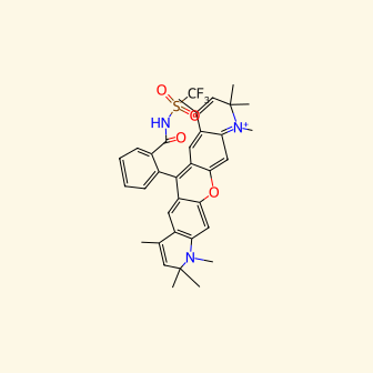 CC1=CC(C)(C)N(C)c2cc3c(cc21)C(c1ccccc1C(=O)NS(=O)(=O)C(F)(F)F)=c1cc2c(cc1O3)=[N+](C)C(C)(C)C=C2C